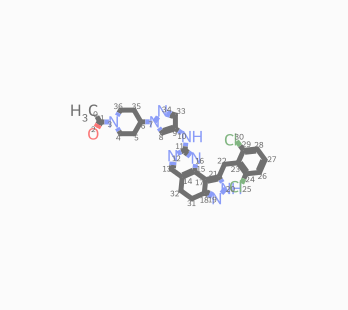 CC(=O)N1CCC(n2cc(Nc3ncc4c(n3)-c3c(n[nH]c3Cc3c(Cl)cccc3Cl)CC4)cn2)CC1